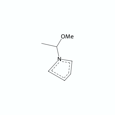 COC(C)n1cccc1